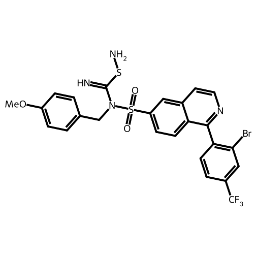 COc1ccc(CN(C(=N)SN)S(=O)(=O)c2ccc3c(-c4ccc(C(F)(F)F)cc4Br)nccc3c2)cc1